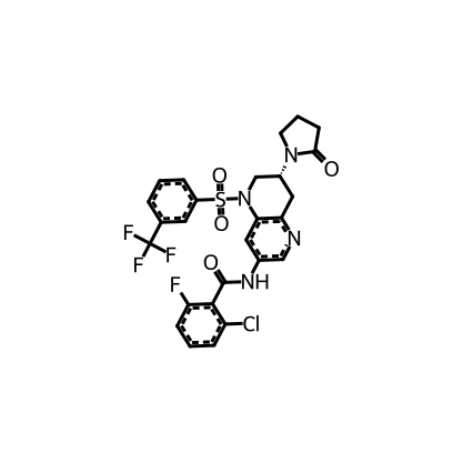 O=C(Nc1cnc2c(c1)N(S(=O)(=O)c1cccc(C(F)(F)F)c1)C[C@H](N1CCCC1=O)C2)c1c(F)cccc1Cl